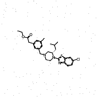 CCOC(=O)Cc1cc(C)cc(CN2CCN(c3nc4ccc(Cl)cc4s3)[C@@H](CC(C)C)C2)c1